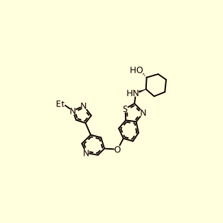 CCn1cc(-c2cncc(Oc3ccc4nc(N[C@@H]5CCCC[C@H]5O)sc4c3)c2)cn1